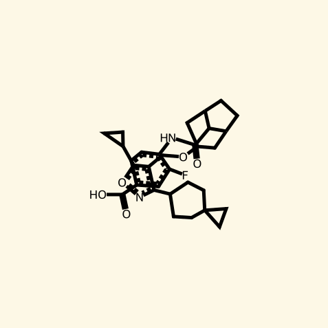 O=C(O)c1ccc(NC(=O)C2C3CCC2CC(OCc2c(C4CCC5(CC4)CC5)noc2C2CC2)C3)c(F)c1